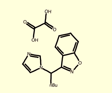 CCCCC(c1noc2ccccc12)n1ccnc1.O=C(O)C(=O)O